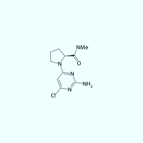 CNC(=O)[C@@H]1CCCN1c1cc(Cl)nc(N)n1